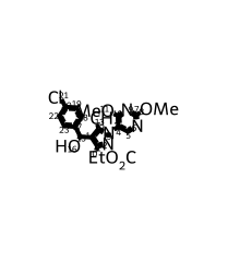 CCOC(=O)c1nn(-c2cnc(OC)nc2OC)c(C)c1C(O)c1ccc(Cl)cc1